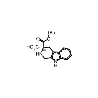 CC(C)(C)OC(=O)[C@@]1(C(=O)O)Cc2c([nH]c3ccccc23)CN1